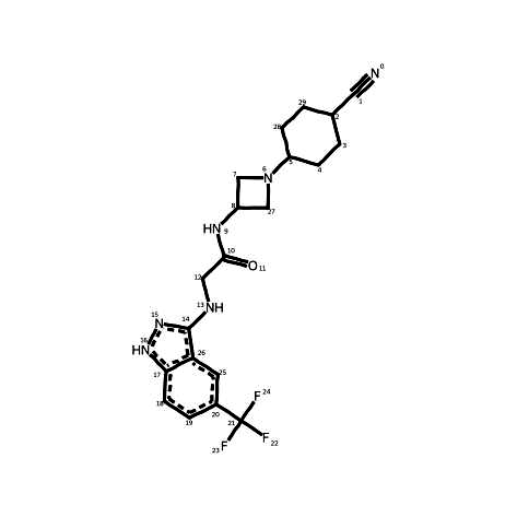 N#CC1CCC(N2CC(NC(=O)CNc3n[nH]c4ccc(C(F)(F)F)cc34)C2)CC1